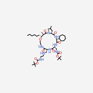 CCCCCC[C@H]1OC[C@@H](C)NC(=O)[C@H](CNCCNC(=O)OC(C)(C)C)NC(=O)[C@H](CNC(=O)OC(C)(C)C)NC(=O)[C@H](C2CCCCCC2)NC(=O)[C@H](CC(C)C)N(C)C(=O)[C@@H]1C